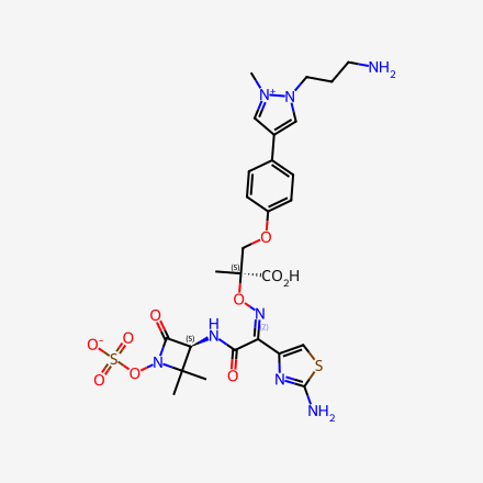 C[n+]1cc(-c2ccc(OC[C@](C)(O/N=C(\C(=O)N[C@@H]3C(=O)N(OS(=O)(=O)[O-])C3(C)C)c3csc(N)n3)C(=O)O)cc2)cn1CCCN